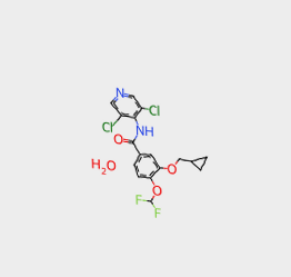 O.O=C(Nc1c(Cl)cncc1Cl)c1ccc(OC(F)F)c(OCC2CC2)c1